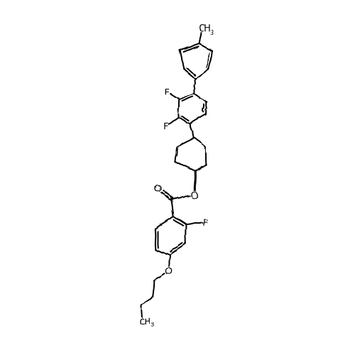 CCCCOc1ccc(C(=O)OC2CCC(c3ccc(-c4ccc(C)cc4)c(F)c3F)CC2)c(F)c1